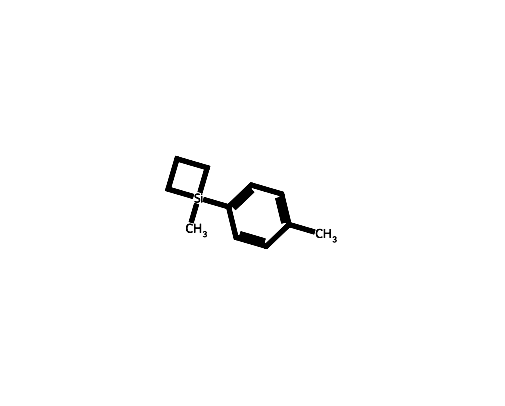 Cc1ccc([Si]2(C)CCC2)cc1